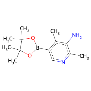 Cc1ncc(B2OC(C)(C)C(C)(C)O2)c(C)c1N